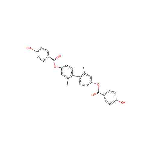 Cc1cc(OC(=O)c2ccc(O)cc2)ccc1-c1ccc(OC(=O)c2ccc(O)cc2)cc1C